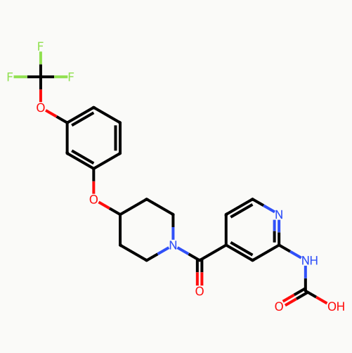 O=C(O)Nc1cc(C(=O)N2CCC(Oc3cccc(OC(F)(F)F)c3)CC2)ccn1